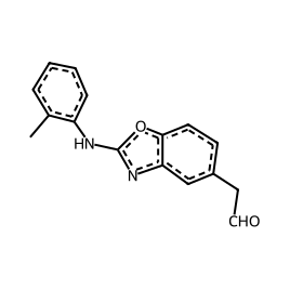 Cc1ccccc1Nc1nc2cc(CC=O)ccc2o1